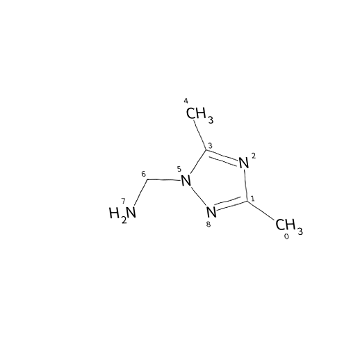 Cc1nc(C)n(CN)n1